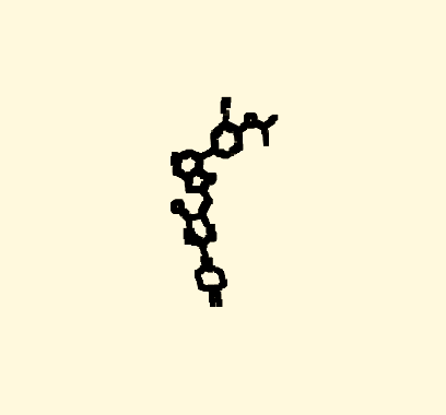 CC(C)Oc1ccc(-c2cncc3cc(C=C4SC(N5CCNCC5)=NC4=O)oc23)cc1F